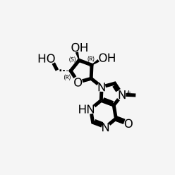 C[n+]1cn(C2O[C@H](CO)[C@@H](O)[C@H]2O)c2[nH]cnc(=O)c21